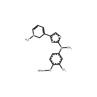 CCCCCOc1ccc(N(C)c2nc(C3=CC=CN(C)C3)cs2)cc1C(F)(F)F